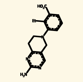 CCc1c(C(=O)O)cccc1N1CCc2nc(N)ncc2C1